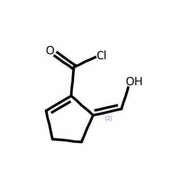 O=C(Cl)C1=CCC/C1=C/O